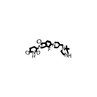 CC1(C)CNCCN1CC1CCN(c2ccc3c(c2F)CN(C2CCC(=O)NC2=O)C3=O)CC1